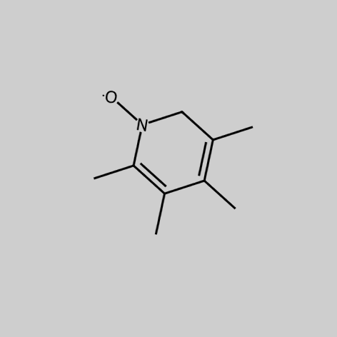 CC1=C(C)C(C)=C(C)N([O])C1